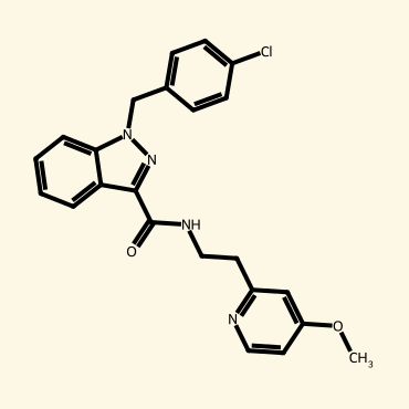 COc1ccnc(CCNC(=O)c2nn(Cc3ccc(Cl)cc3)c3ccccc23)c1